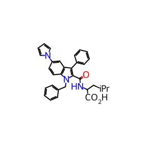 CC(C)CC(NC(=O)c1c(-c2ccccc2)c2cc(-n3cccc3)ccc2n1Cc1ccccc1)C(=O)O